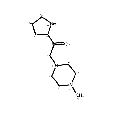 CN1CCN(CC(=O)C2CCCN2)CC1